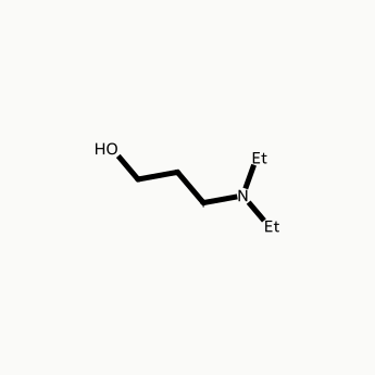 CCN([CH]CCO)CC